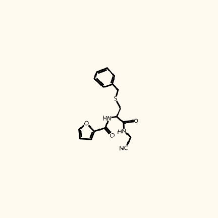 N#CCNC(=O)C(CSCc1ccccc1)NC(=O)c1ccco1